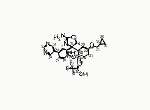 NC1=N[C@@]2(CO1)c1cc(-c3cncnc3)ccc1O[C@H]1CC[C@H](OCC3CC3)C[C@@H]12.O=C(O)C(F)(F)F